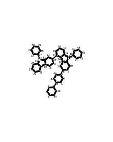 c1ccc(-c2ccc(-c3ccc4c(c3)c3c(-c5ccc6c7ccccc7n(-c7ccccc7)c6c5)cccc3n4-c3ccccc3)cc2)cc1